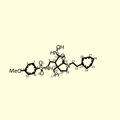 COc1ccc(S(=O)(=O)NCC(C(=O)NO)C2(CC(C)C)CCN(CCc3ccccc3)C2=O)cc1